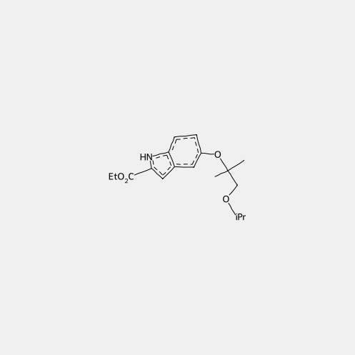 CCOC(=O)c1cc2cc(OC(C)(C)COC(C)C)ccc2[nH]1